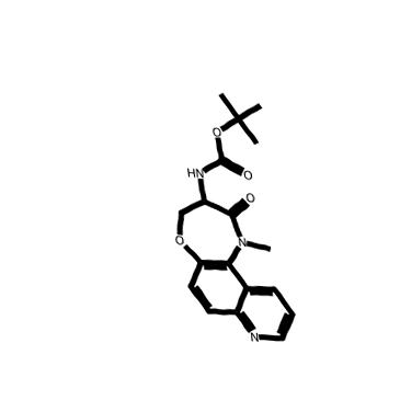 CN1C(=O)C(NC(=O)OC(C)(C)C)COc2ccc3ncccc3c21